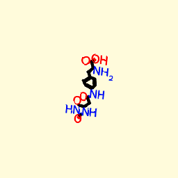 NC(Cc1ccc(NC(=O)CC2NC(=O)NC2=O)cc1)C(=O)O